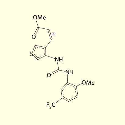 COC(=O)/C=C\c1cscc1NC(=O)Nc1cc(C(F)(F)F)ccc1OC